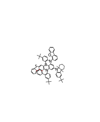 CC(C)(C)c1ccc2c(c1)B1c3cc4sc5ccccc5c4cc3N(c3ccc(C(C)(C)C)cc3-c3ccccc3)c3cc(N4c5ccc(C(C)(C)C)cc5C5(C)CCCCC45C)cc(c31)N2c1cccc2c1oc1ccccc12